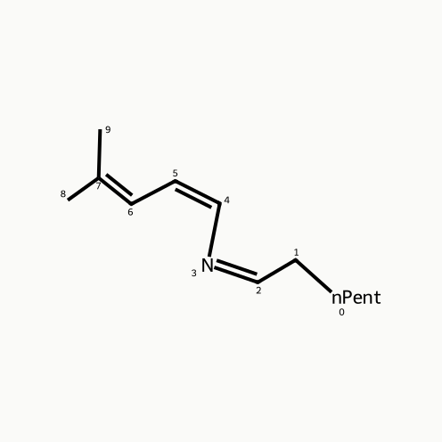 CCCCCC/C=N\C=C/C=C(C)C